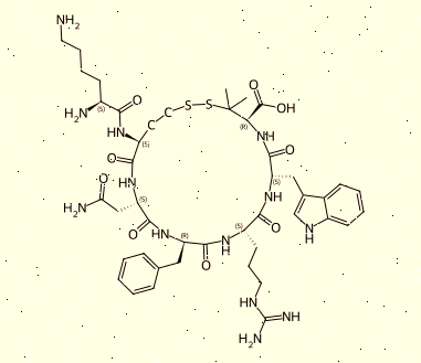 CC1(C)SSCC[C@H](NC(=O)[C@@H](N)CCCCN)C(=O)N[C@@H](CC(N)=O)C(=O)N[C@H](Cc2ccccc2)C(=O)N[C@@H](CCCNC(=N)N)C(=O)N[C@@H](Cc2c[nH]c3ccccc23)C(=O)N[C@@H]1C(=O)O